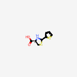 O=C(O)[C@@H]1CSC(c2cccs2)N1